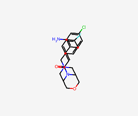 Nc1cc(Cl)ccc1C=CC(=O)N1C2COCC1CN(Cc1ccc(F)cc1)C2